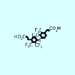 O=C(O)C=Cc1ccc(Sc2ccc(C=CC(=O)O)c(C(F)(F)F)c2C(F)(F)F)c(C(F)(F)F)c1C(F)(F)F